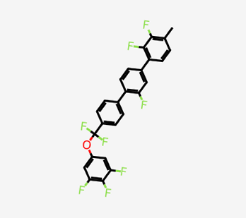 Cc1ccc(-c2ccc(-c3ccc(C(F)(F)Oc4cc(F)c(F)c(F)c4)cc3)c(F)c2)c(F)c1F